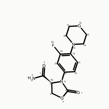 NC(=O)[C@@H]1COC(=O)N1c1ccc(N2CCOCC2)c(F)c1